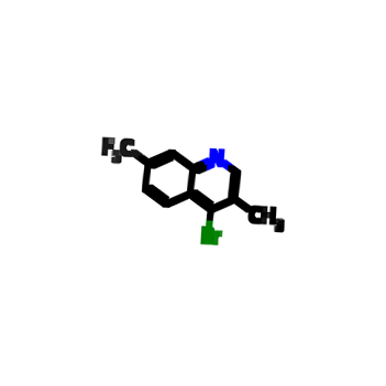 Cc1cnc2cc(C(F)(F)F)ccc2c1Br